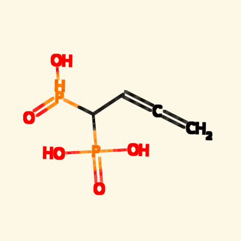 C=C=CC([PH](=O)O)P(=O)(O)O